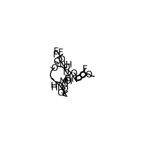 CCOc1cc2ccnc(O[C@@H]3C[C@H]4C(=O)N[C@]5(C(=O)NS(=O)(=O)C6(C)CC6)C[C@H]5/C=C\CC[C@@H](C)O[C@@H](CC)[C@H](NC(=O)OC(C)(C)C(F)(F)F)C(=O)N4C3)c2cc1F